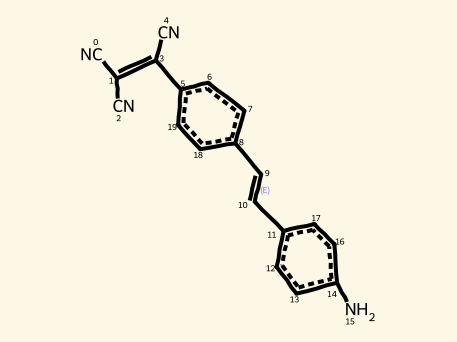 N#CC(C#N)=C(C#N)c1ccc(/C=C/c2ccc(N)cc2)cc1